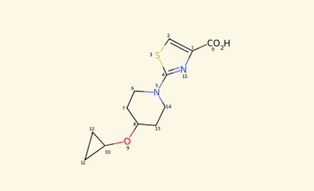 O=C(O)c1csc(N2CCC(OC3CC3)CC2)n1